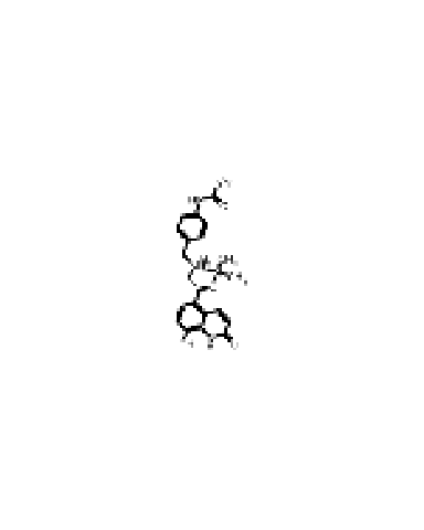 CCCC(=O)Nc1ccc(CNC[C@H](O[Si](C)(C)C)c2ccc(O)c3[nH]c(=O)ccc23)cc1